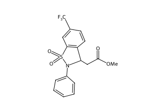 COC(=O)CC1c2ccc(C(F)(F)F)cc2S(=O)(=O)N1c1ccccc1